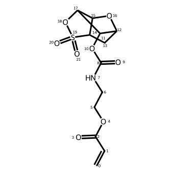 C=CC(=O)OCCNC(=O)OC1C2CC3C(O2)C1OS3(=O)=O